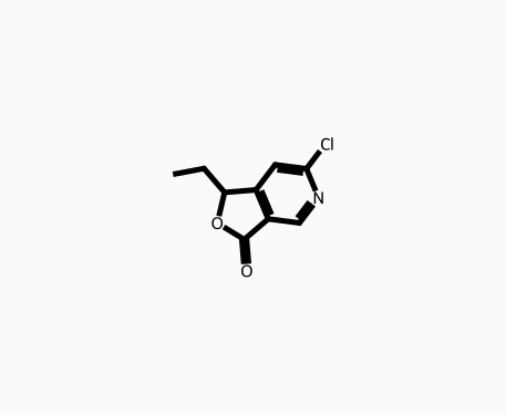 CCC1OC(=O)c2cnc(Cl)cc21